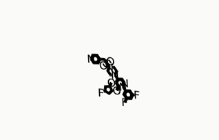 O=c1c(OC2CCC(F)C2)c(N2CCN(S(=O)(=O)Cc3ccncc3)CC2)cnn1-c1cc(F)cc(F)c1